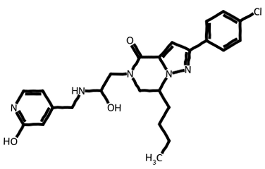 CCCCC1CN(CC(O)NCc2ccnc(O)c2)C(=O)c2cc(-c3ccc(Cl)cc3)nn21